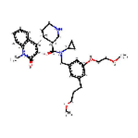 COCCCc1cc(CN(C(=O)[C@@H]2CNCC[C@H]2c2cc(=O)n(C)c3ccccc23)C2CC2)cc(OCCOC)c1